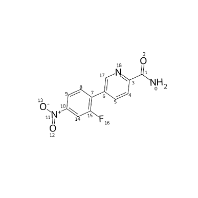 NC(=O)c1ccc(-c2ccc([N+](=O)[O-])cc2F)cn1